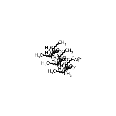 CCCCCCCC(C)COC(C)(CC(=O)CC(=O)[O-])OCC(C)CCCCCCC.CCCCCCCC(C)COC(C)(CC(=O)CC(=O)[O-])OCC(C)CCCCCCC.CCCCCCCC(C)COC(C)(CC(=O)CC(=O)[O-])OCC(C)CCCCCCC.[Al+3]